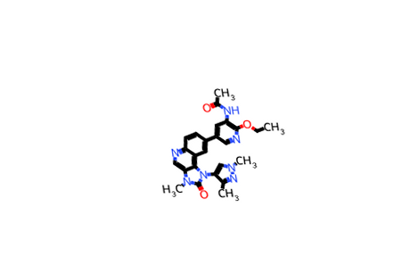 CCOc1ncc(-c2ccc3ncc4c(c3c2)n(-c2cn(C)nc2C)c(=O)n4C)cc1NC(C)=O